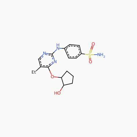 CCc1cnc(Nc2ccc(S(N)(=O)=O)cc2)nc1OC1CCCC1O